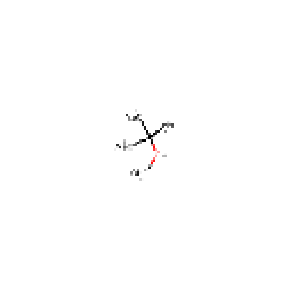 CCCC(OC)(OC)OC=O